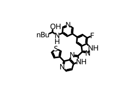 CCCCC(O)Nc1cncc(-c2cc(F)c3[nH]nc(-c4nc5c(-c6ccsc6)nccc5[nH]4)c3c2)c1